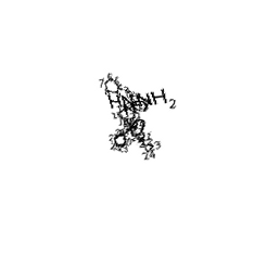 NC[C@H](CC1CCCCC1)NC(=O)N1CCC[C@@H]([C@@H](OCCC2CC2)c2ccccc2)C1